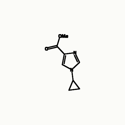 COC(=O)c1cn(C2CC2)cn1